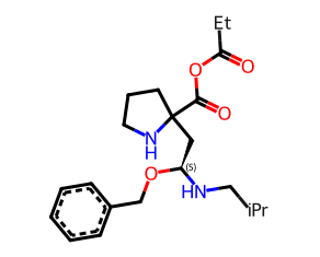 CCC(=O)OC(=O)C1(C[C@@H](NCC(C)C)OCc2ccccc2)CCCN1